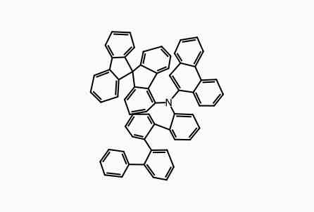 c1ccc(-c2ccccc2-c2ccccc2-c2ccccc2N(c2cccc3c2-c2ccccc2C32c3ccccc3-c3ccccc32)c2cc3ccccc3c3ccccc23)cc1